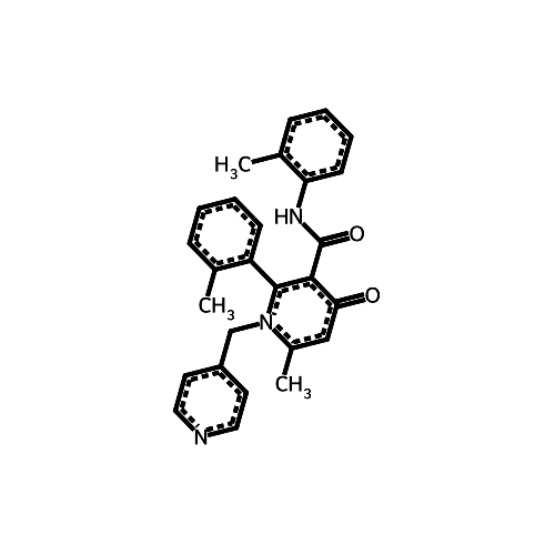 Cc1ccccc1NC(=O)c1c(-c2ccccc2C)n(Cc2ccncc2)c(C)cc1=O